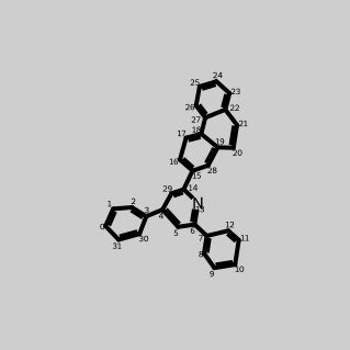 c1ccc(-c2cc(-c3ccccc3)nc(-c3ccc4c(ccc5ccccc54)c3)c2)cc1